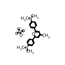 Cc1cc(-c2ccc(N(C)C)cc2)[o+]c(-c2ccc(N(C)C)cc2)c1.[O-][Cl+3]([O-])([O-])[O-]